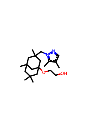 Cc1cnn(CC2(C)CC3(C)CC(C)(C)CC(OCCO)(C2)C3)c1C